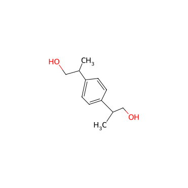 CC(CO)c1ccc(C(C)CO)cc1